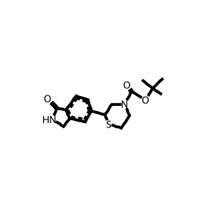 CC(C)(C)OC(=O)N1CCSC(c2ccc3c(c2)CNC3=O)C1